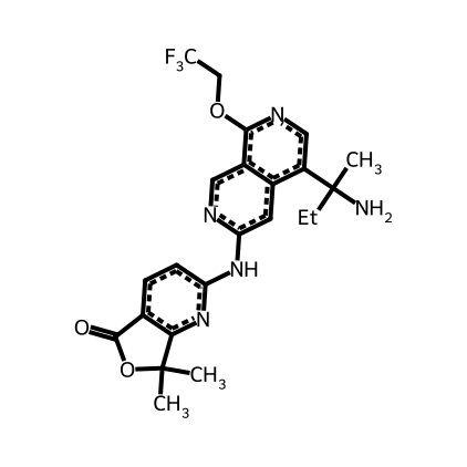 CCC(C)(N)c1cnc(OCC(F)(F)F)c2cnc(Nc3ccc4c(n3)C(C)(C)OC4=O)cc12